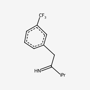 CC(C)C(=N)Cc1cccc(C(F)(F)F)c1